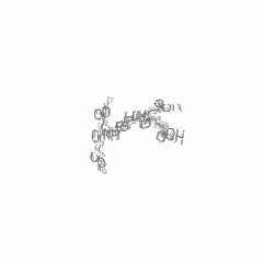 CCOC(=O)CCCC(=O)C(CCC(=O)OCC)NCCSSCCNC(CCC(=O)O)C(=O)CCCC(=O)O